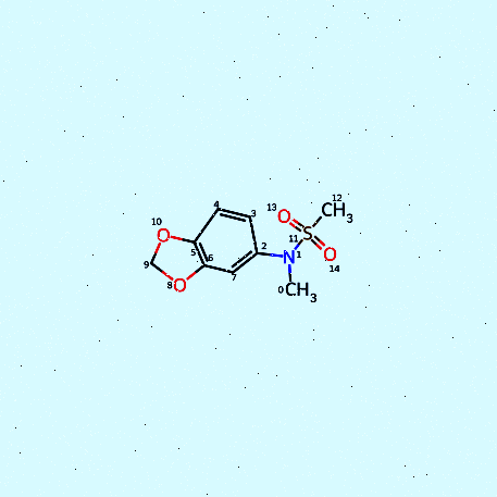 CN(c1ccc2c(c1)OCO2)S(C)(=O)=O